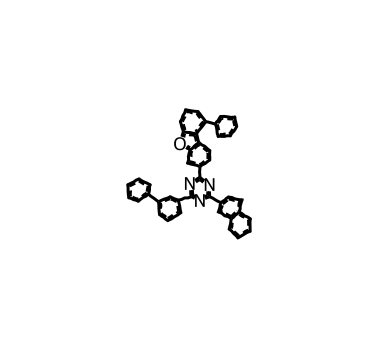 c1ccc(-c2cccc(-c3nc(-c4ccc5ccccc5c4)nc(-c4ccc5c(c4)oc4cccc(-c6ccccc6)c45)n3)c2)cc1